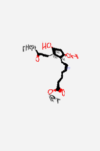 CCCCCCCC(=O)CC[C@H]1[C@H](C/C=C\CCCC(=O)OC(C)C)[C@H](O)C[C@@H]1O